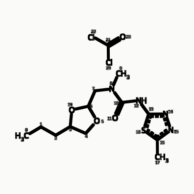 CCCC1COC(CN(C)C(=O)Nc2nnc(C)s2)O1.O=C(Cl)Cl